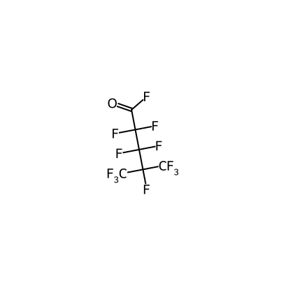 O=C(F)C(F)(F)C(F)(F)C(F)(C(F)(F)F)C(F)(F)F